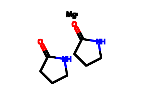 O=C1CCCN1.O=C1CCCN1.[Mg]